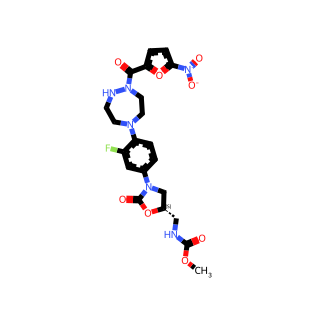 COC(=O)NC[C@H]1CN(c2ccc(N3CCNN(C(=O)c4ccc([N+](=O)[O-])o4)CC3)c(F)c2)C(=O)O1